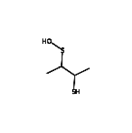 CC(S)C(C)SO